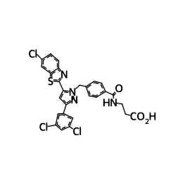 O=C(O)CCNC(=O)c1ccc(Cn2nc(-c3cc(Cl)cc(Cl)c3)cc2-c2nc3ccc(Cl)cc3s2)cc1